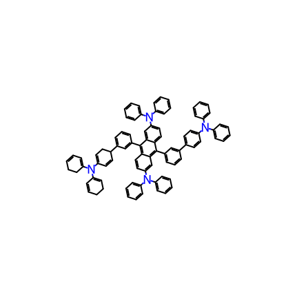 C1=CCCC(N(C2=CCCC=C2)C2=CCC(c3cccc(-c4c5ccc(N(c6ccccc6)c6ccccc6)cc5c(-c5cccc(-c6ccc(N(c7ccccc7)c7ccccc7)cc6)c5)c5ccc(N(c6ccccc6)c6ccccc6)cc45)c3)C=C2)=C1